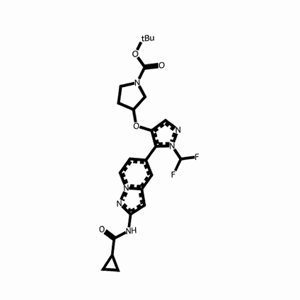 CC(C)(C)OC(=O)N1CCC(Oc2cnn(C(F)F)c2-c2ccn3nc(NC(=O)C4CC4)cc3c2)C1